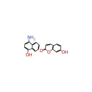 Nc1ccc(O)c2ccccc12.O=c1ccc2ccc(O)cc2o1